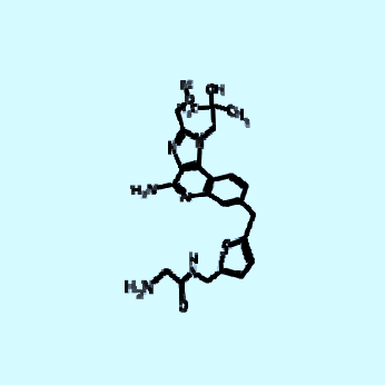 CCOCc1nc2c(N)nc3cc(Cc4ccc(CNC(=O)CN)s4)ccc3c2n1CC(C)(C)O